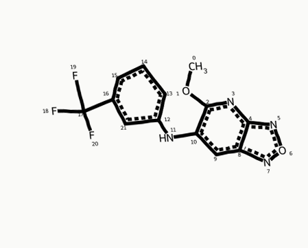 COc1nc2nonc2cc1Nc1cccc(C(F)(F)F)c1